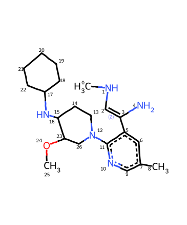 CN/C=C(\N)c1cc(C)cnc1N1CCC(NC2CCCCC2)C(OC)C1